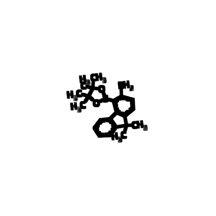 Bc1ccc2c(c1B1OC(C)(C)C(C)(C)O1)-c1ccccc1C2(C)C